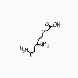 CC(N)CCC(N)CCOCC(=O)O